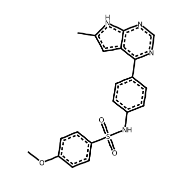 COc1ccc(S(=O)(=O)Nc2ccc(-c3ncnc4[nH]c(C)cc34)cc2)cc1